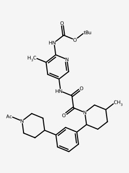 CC(=O)N1CCC(c2cccc(C3CCC(C)CN3C(=O)C(=O)Nc3cnc(NC(=O)OC(C)(C)C)c(C)c3)c2)CC1